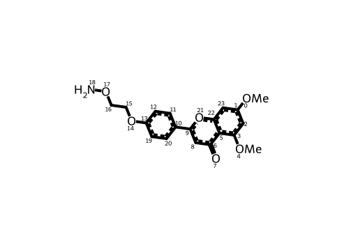 COc1cc(OC)c2c(=O)cc(-c3ccc(OCCON)cc3)oc2c1